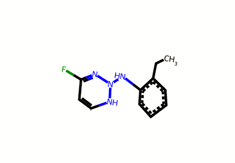 CCc1ccccc1NN1N=C(F)C=[C]N1